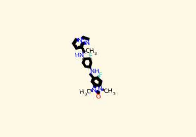 C[C@H](N[C@H]1CC[C@H](NCc2cc3c(cc2F)n(C)c(=O)n3C)C[C@@H]1F)c1cccn2ccnc12